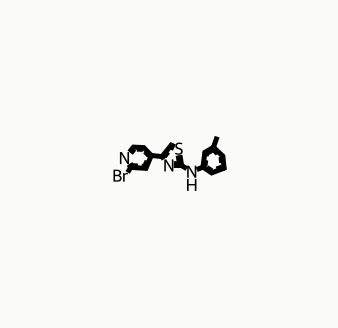 Cc1cccc(Nc2nc(-c3ccnc(Br)c3)cs2)c1